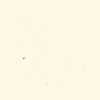 CCC(C)[C@H](NC(=O)C(CC(O)C(N)CC(C)C)C(C)C)C(=O)C(N)c1ccccn1